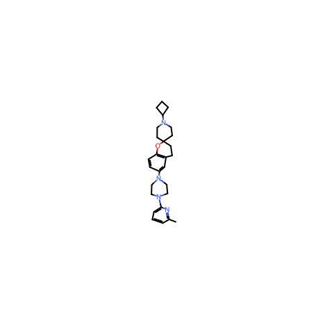 Cc1cccc(N2CCN(c3ccc4c(c3)CCC3(CCN(C5CCC5)CC3)O4)CC2)n1